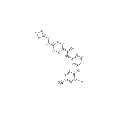 O=C(Nc1cc(Oc2ccc([N+](=O)[O-])cc2F)ccn1)N1CCN(CCN2CCC2)CC1